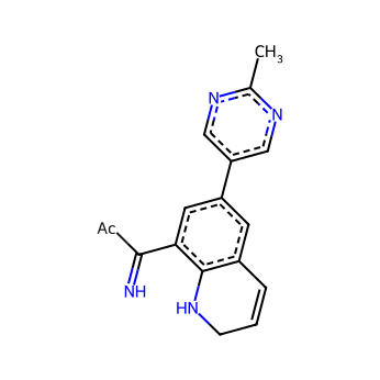 CC(=O)C(=N)c1cc(-c2cnc(C)nc2)cc2c1NCC=C2